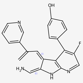 C=C(/C=c1\c(=C/N)[nH]c2ncc(F)c(-c3ccc(O)cc3)c12)c1cccnc1